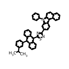 CC(C)c1cccc(-c2c3ccccc3c(-c3nc(-c4ccc5c6c7ccccc7ccc6n(-c6ccccc6)c5c4)ns3)c3ccccc23)c1